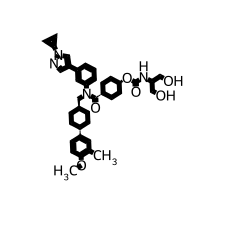 COc1ccc([C@H]2CC[C@H](CN(c3cccc(-c4cnn(C5CC5)c4)c3)C(=O)[C@H]3CC[C@H](OC(=O)NC(CO)CO)CC3)CC2)cc1C